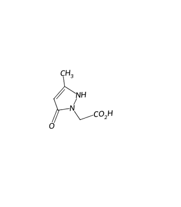 Cc1cc(=O)n(CC(=O)O)[nH]1